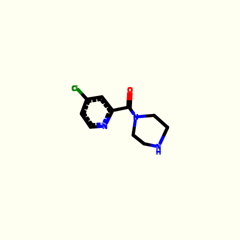 O=C(c1cc(Cl)ccn1)N1CCNCC1